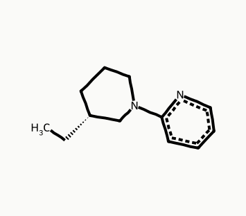 CC[C@@H]1CCCN(c2ccccn2)C1